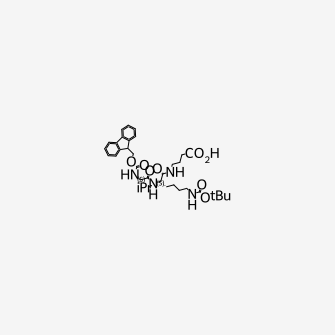 CC(C)[C@H](NC(=O)OCC1c2ccccc2-c2ccccc21)C(=O)N[C@@H](CCCCNC(=O)OC(C)(C)C)C(=O)NCCCC(=O)O